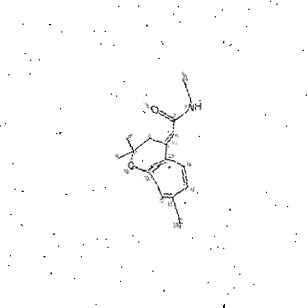 CNC(=O)/C=C1\CC(C)(C)Oc2cc(F)ccc21